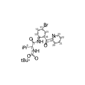 CC(C)C(NC(=O)OC(C)(C)C)C(=O)Nc1ccc(Br)cc1C(=O)c1ccccn1